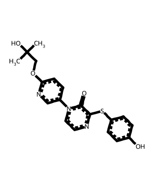 CC(C)(O)COc1ccc(-n2ccnc(Sc3ccc(O)cc3)c2=O)cn1